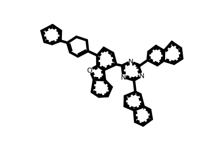 C1=C(c2ccccc2)CCC(c2ccc(-c3nc(-c4ccc5ccccc5c4)nc(-c4ccc5ccccc5c4)n3)c3c2oc2ccccc23)=C1